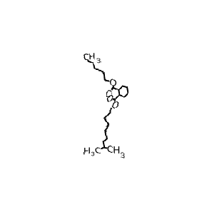 CCCCCCOC(=O)C1CCCCC1C(=O)OCCCCCCCC(C)C